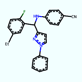 CCc1ccc(F)c(C(Nc2ccc(C#N)cc2)c2ccn(-c3ccccc3)n2)c1